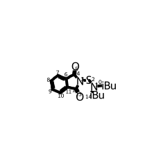 CCC(C)N(SN1C(=O)c2ccccc2C1=O)C(C)CC